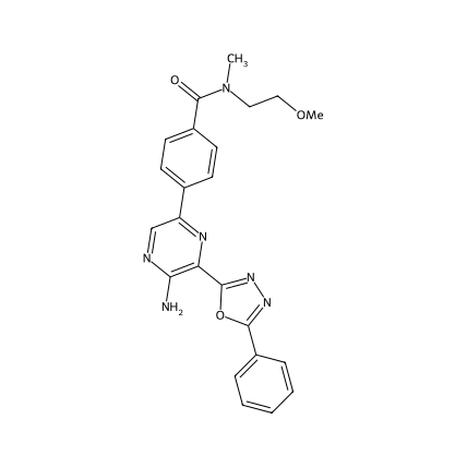 COCCN(C)C(=O)c1ccc(-c2cnc(N)c(-c3nnc(-c4ccccc4)o3)n2)cc1